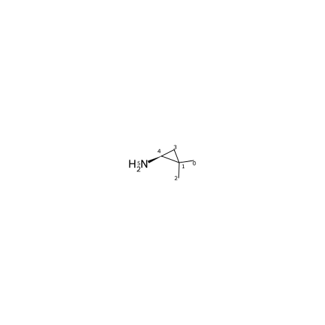 CC1(C)C[C@@H]1N